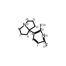 Fc1ccc(C23CCCN2CCC3)c(F)n1